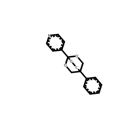 c1ccc(C23COC(c4ccncc4)(OC2)OC3)cc1